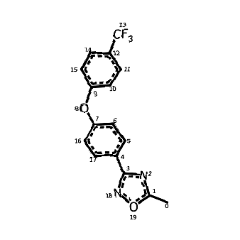 Cc1nc(-c2ccc(Oc3ccc(C(F)(F)F)cc3)cc2)no1